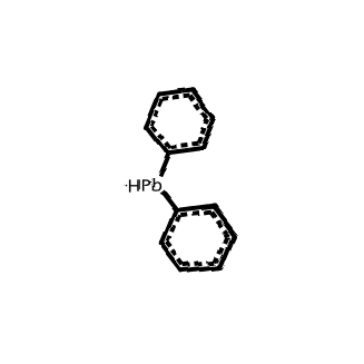 c1cc[c]([PbH][c]2ccccc2)cc1